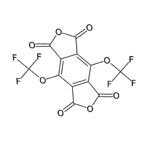 O=c1oc(=O)c2c(OC(F)(F)F)c3c(=O)oc(=O)c3c(OC(F)(F)F)c12